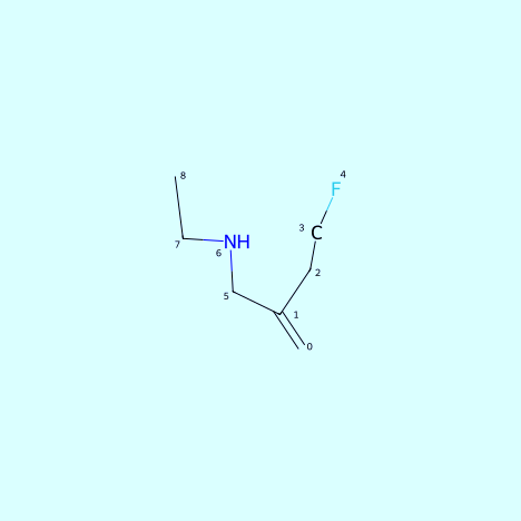 C=C(CCF)CNCC